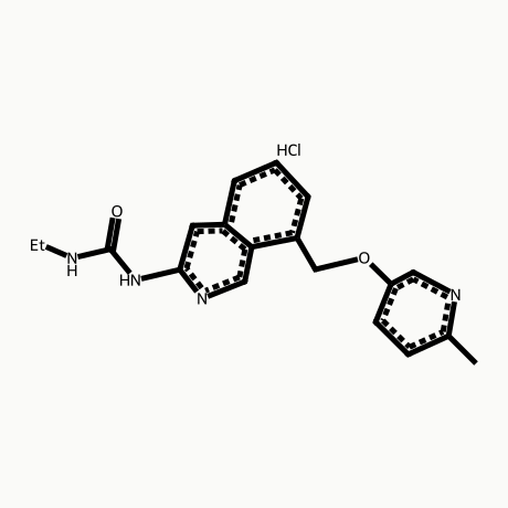 CCNC(=O)Nc1cc2cccc(COc3ccc(C)nc3)c2cn1.Cl